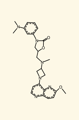 COc1ccc2nccc(N3CC(N(C)CC4CN(c5cccc(N(C)C)c5)C(=O)O4)C3)c2n1